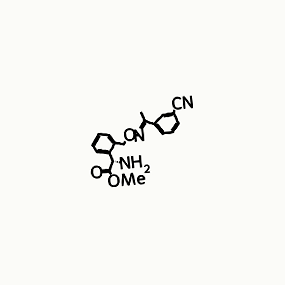 COC(=O)[C@@H](N)c1ccccc1CO/N=C(\C)c1cccc(C#N)c1